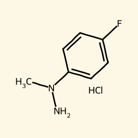 CN(N)c1ccc(F)cc1.Cl